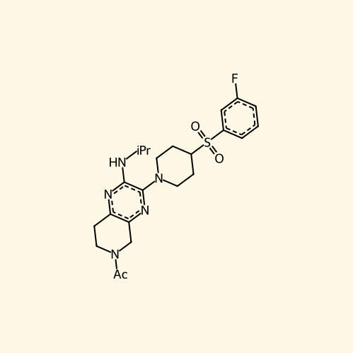 CC(=O)N1CCc2nc(NC(C)C)c(N3CCC(S(=O)(=O)c4cccc(F)c4)CC3)nc2C1